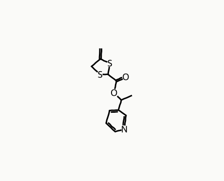 C=C1CSC(C(=O)OC(C)c2cccnc2)S1